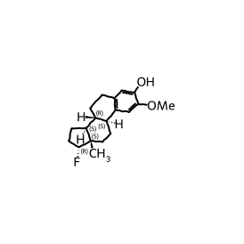 COc1cc2c(cc1O)CC[C@@H]1[C@@H]2CC[C@]2(C)[C@H](F)CC[C@@H]12